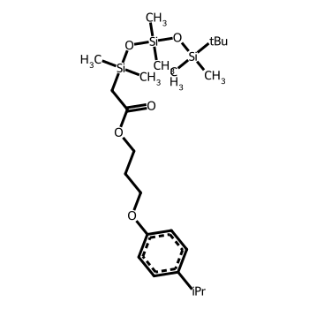 CC(C)c1ccc(OCCCOC(=O)C[Si](C)(C)O[Si](C)(C)O[Si](C)(C)C(C)(C)C)cc1